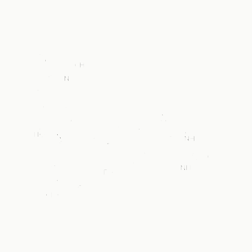 Cn1cc(/C(CC(c2ccc(-c3c[nH]c(=O)[nH]c3=O)cc2)c2ccc(Cl)cc2F)=N\O)ccc1=O